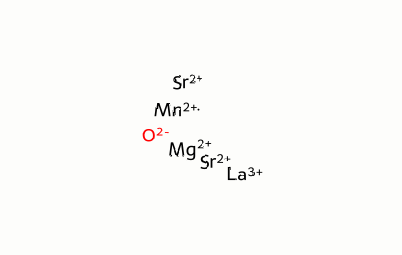 [La+3].[Mg+2].[Mn+2].[O-2].[Sr+2].[Sr+2]